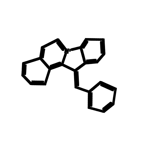 C(=C1/c2ccccc2-[n+]2ccc3ccccc3c21)/c1ccccc1